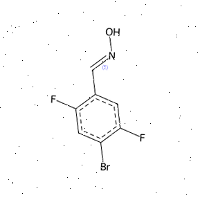 O/N=C/c1cc(F)c(Br)cc1F